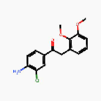 COc1cccc(CC(=O)c2ccc(N)c(Cl)c2)c1OC